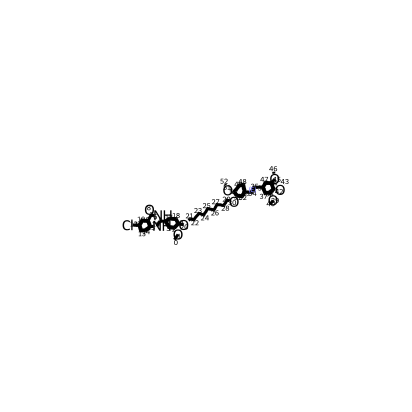 COc1cc(C2NC(=O)c3cc(Cl)ccc3N2)ccc1OCCCCCCCCCOc1cc(/C=C/c2cc(OC)c(OC)c(OC)c2)ccc1OC